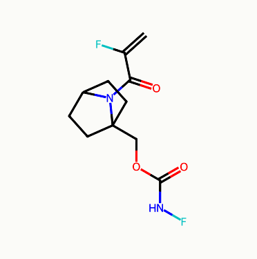 C=C(F)C(=O)N1C2CCC1(COC(=O)NF)CC2